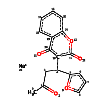 CC(=O)CC(c1ccco1)[c-]1c(=O)oc2ccccc2c1=O.[Na+]